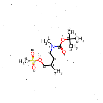 CC(CCN(C)C(=O)OC(C)(C)C)COS(C)(=O)=O